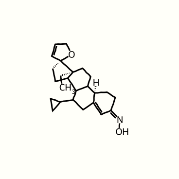 CC[C@]12CCC3C(C(C4CC4)CC4=CC(=NO)CC[C@@H]43)C1CC[C@@]21C=CCO1